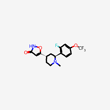 CN1CC[C@H](c2cc(=O)[nH]o2)C[C@H]1c1ccc(OC(F)(F)F)cc1F